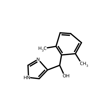 Cc1cccc(C)c1C(O)c1c[nH]cn1